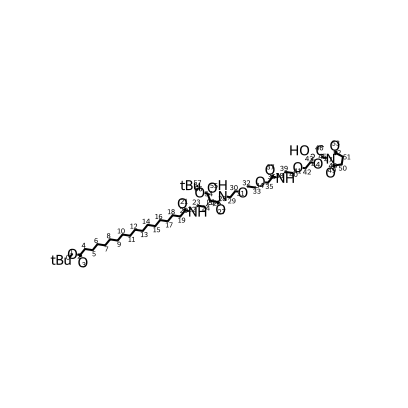 CC(C)(C)OC(=O)CCCCCCCCCCCCCCCCC(=O)NCC[C@@H](C(=O)NCCOCCOCC(=O)NCCOCCOC(C(=O)O)N1C(=O)CCC1=O)C(=O)OC(C)(C)C